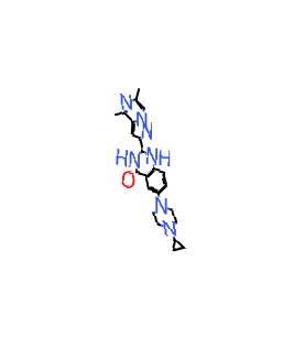 Cc1cn2nc(C3NC(=O)c4cc(N5CCN(C6CC6)CC5)ccc4N3)cc2c(C)n1